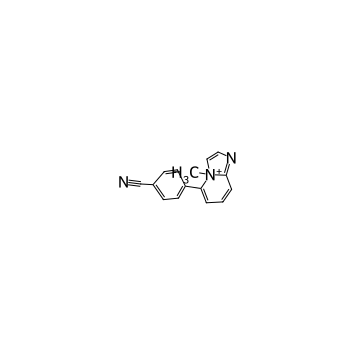 C[N+]12C=CN=C1C=CC=C2c1ccc(C#N)cc1